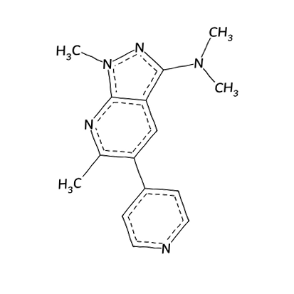 Cc1nc2c(cc1-c1ccncc1)c(N(C)C)nn2C